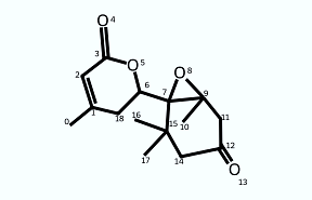 CC1=CC(=O)OC(C23OC2(C)CC(=O)CC3(C)C)C1